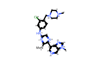 CNc1nc(Nc2ccc(CN3CCN(C)CC3)c(Cl)c2)cnc1-c1cncc2c1ncn2C